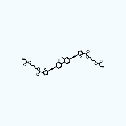 C=CC(=O)OCCCOC(=O)c1ccc(C#Cc2ccc(-c3ccc(C#Cc4ccc(C(=O)OCCCOC(=O)C=C)s4)cc3C)c(C)c2)s1